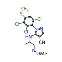 CON=CC(C)Nc1c(C#N)cnn1-c1c(Cl)cc(SC(F)(F)F)c(Cl)c1Cl